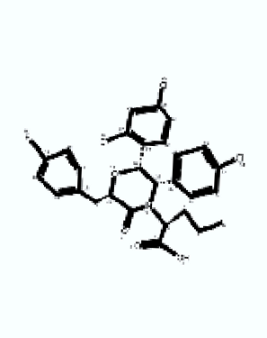 CCC[C@@H](C(=O)O)N1C(=O)[C@@H](Cc2ccc(F)cc2)O[C@H](c2ccc(Cl)cc2Cl)[C@@H]1c1ccc(Cl)cc1